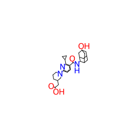 O=C(O)CC1CCCN(c2ccc(C(=O)NC3C4CC5CC3CC(O)(C5)C4)c(C3CC3)n2)C1